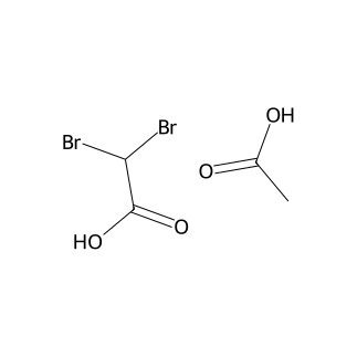 CC(=O)O.O=C(O)C(Br)Br